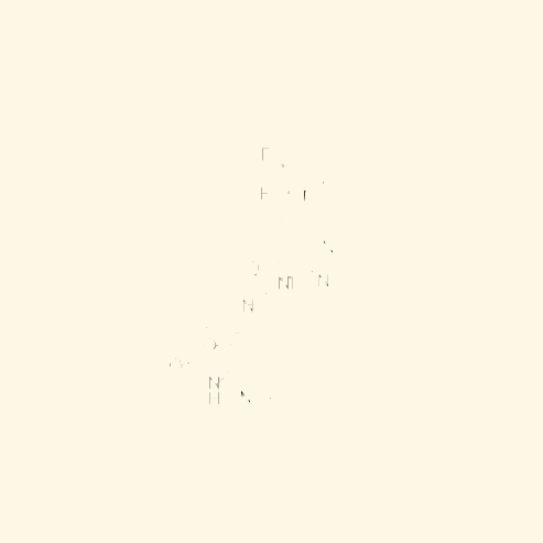 Cc1cnc2n1C[C@H](c1cccc(F)c1F)CC[C@H]2NC(=O)N1CCC2(CC1)OC(=O)Nc1ncccc12